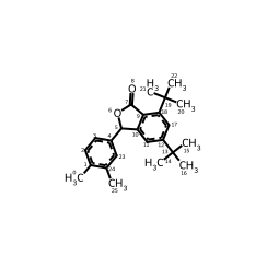 Cc1ccc(C2OC(=O)c3c2cc(C(C)(C)C)cc3C(C)(C)C)cc1C